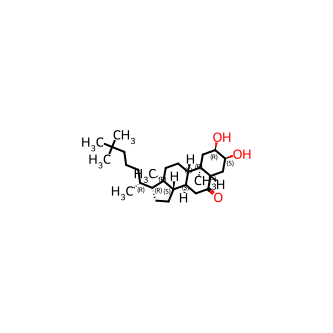 C[C@H](CCCC(C)(C)C)[C@H]1CC[C@H]2[C@@H]3CC(=O)[C@H]4C[C@H](O)[C@H](O)C[C@]4(C)[C@H]3CC[C@]12C